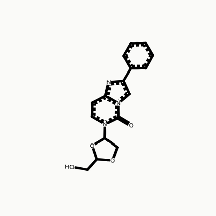 O=c1n(C2COC(CO)O2)ccc2nc(-c3ccccc3)cn12